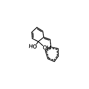 OC1(O)C=CC=CC1=Cc1ccccc1